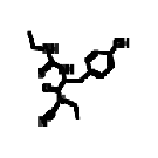 CCNC(=S)NC(Cc1ccc(O)cc1)C(=O)N(C#N)CC